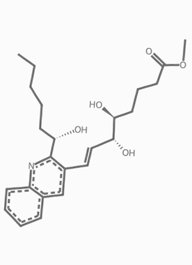 CCCCC[C@H](O)c1nc2ccccc2cc1/C=C/[C@@H](O)[C@@H](O)CCCC(=O)OC